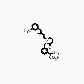 CC(C(=O)O)c1cccc(CN2C(=O)CCCN2CCC(=O)Cc2cccc(C(F)(F)F)c2)c1